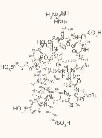 CC(C)(C)C(=O)CN1C(=O)[C@H](NC(=O)Nc2cccc(C(=O)N[C@@H](CCC(=O)O)C(=O)N[C@@H](CCCNC(=N)N)C(=O)N[C@H](CC(=O)O)C(=O)N[C@@H](CCCCNC(=O)c3ccc(C4=C(/C=C/C5=[N+](CCCCS(=O)(=O)O)c6ccc(S(=O)(=O)O)cc6C5(C)C)CCC/C4=C\C=C4\N(CCCCS(=O)(=O)O)c5ccc(S(=O)(=O)O)cc5C4(C)C)cc3)C(=O)O)c2)CN(C2CCCCC2)c2ccccc21